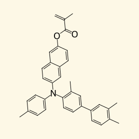 C=C(C)C(=O)Oc1ccc2cc(N(c3ccc(C)cc3)c3ccc(-c4ccc(C)c(C)c4)cc3C)ccc2c1